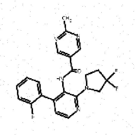 Cc1ncc(C(=O)Nc2c(-c3ccccc3F)ccnc2N2CCC(F)(F)C2)cn1